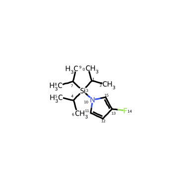 CC(C)[Si](C(C)C)(C(C)C)n1ccc(F)c1